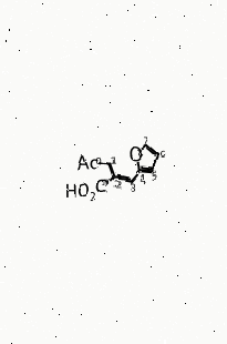 CC(=O)CC(=Cc1ccco1)C(=O)O